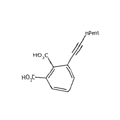 CCCCCC#Cc1cccc(C(=O)O)c1C(=O)O